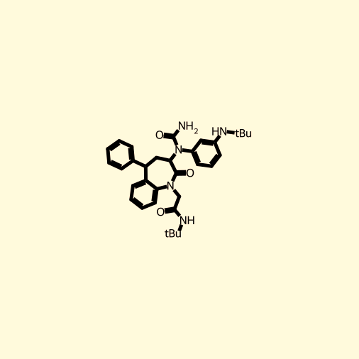 CC(C)(C)NC(=O)CN1C(=O)C(N(C(N)=O)c2cccc(NC(C)(C)C)c2)CC(c2ccccc2)c2ccccc21